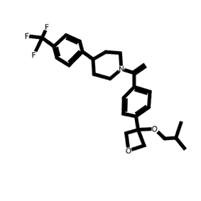 C=C(c1ccc(C2(OCC(C)C)COC2)cc1)N1CCC(c2ccc(C(F)(F)F)cc2)CC1